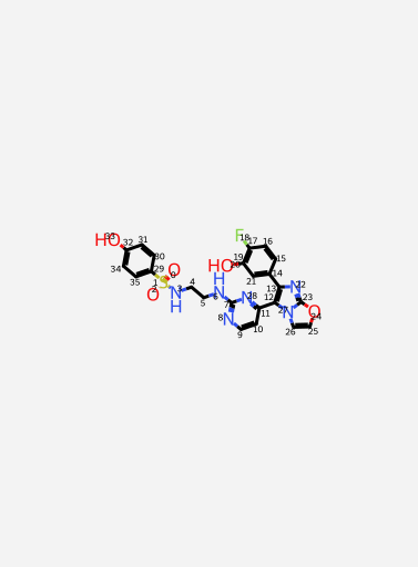 O=S(=O)(NCCNc1nccc(-c2c(-c3ccc(F)c(O)c3)nc3occn23)n1)c1ccc(O)cc1